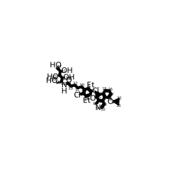 CCc1c(Cl)c(OC2(c3cnccc3-c3ccccc3OC3CC3)CC2)c(CC)c(Cl)c1CCCCC(=O)N[C@@H](CO)[C@@H](O)[C@H](O)[C@H](O)CO